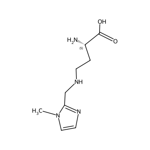 Cn1ccnc1CNCC[C@H](N)C(=O)O